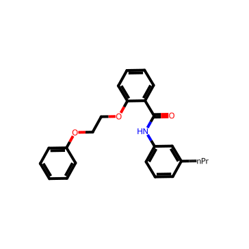 CCCc1cccc(NC(=O)c2ccccc2OCCOc2ccccc2)c1